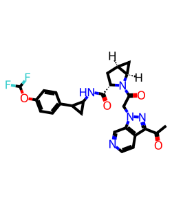 CC(=O)c1nn(CC(=O)N2[C@@H]3C[C@@H]3C[C@H]2C(=O)NC2CC2c2ccc(OC(F)F)cc2)c2cnccc12